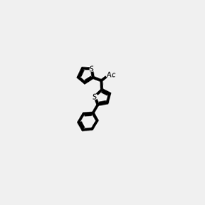 CC(=O)C(c1cccs1)c1ccc(C2=CC=CCC2)s1